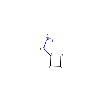 N[N]C1CCC1